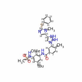 COc1c(NC(=O)c2ccc(C)c(N3C=C(c4cnc(Sc5ccccc5)n4C)NN3)c2)cc(C(C)(C)C)cc1NS(C)(=O)=O